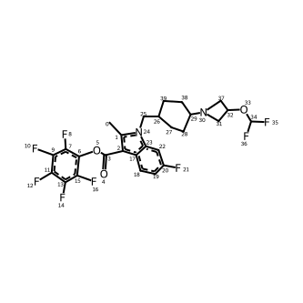 Cc1c(C(=O)Oc2c(F)c(F)c(F)c(F)c2F)c2ccc(F)cc2n1CC1CCC(N2CC(OC(F)F)C2)CC1